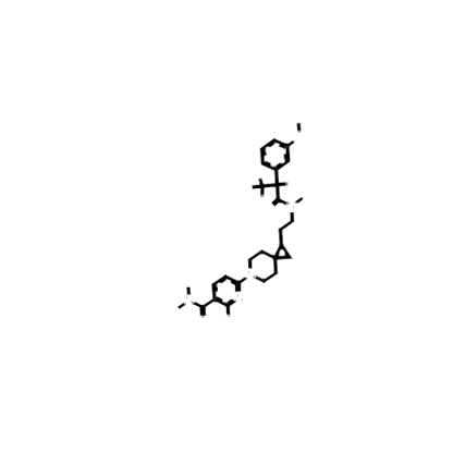 COc1cccc(C(O)(C(=O)N(C)CCC2CC23CCN(c2ccc(C(=O)N(C)C)c(Cl)n2)CC3)C(F)(F)F)c1